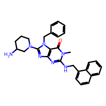 Cn1c(NCc2cccc3ccccc23)nc2nc(N3CCCC(N)C3)n(Cc3ccccc3)c2c1=O